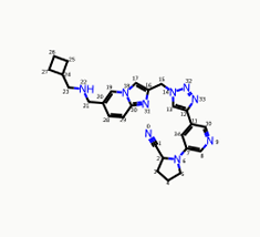 N#CC1CCCN1c1cncc(-c2cn(Cc3cn4cc(CNCC5CCC5)ccc4n3)nn2)c1